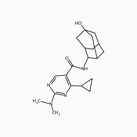 CN(C)c1ncc(C(=O)NC2C3CC4CC2CC(O)(C4)C3)c(C2CC2)n1